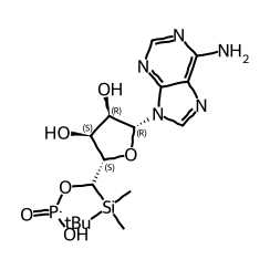 CC(C)(C)[Si](C)(C)C(O[P](=O)O)[C@H]1O[C@@H](n2cnc3c(N)ncnc32)[C@H](O)[C@@H]1O